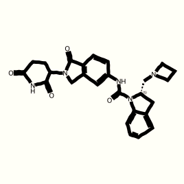 O=C1CCC(N2Cc3cc(NC(=O)N4c5ccccc5C[C@H]4CN4CCC4)ccc3C2=O)C(=O)N1